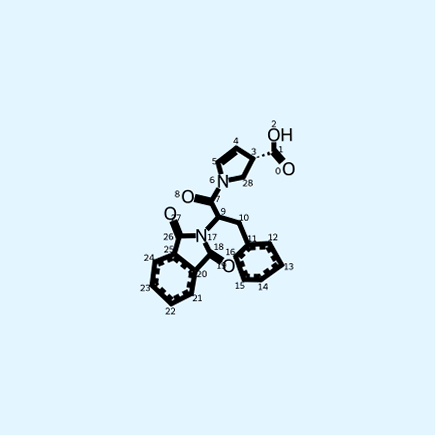 O=C(O)[C@H]1C=CN(C(=O)C(Cc2ccccc2)N2C(=O)c3ccccc3C2=O)C1